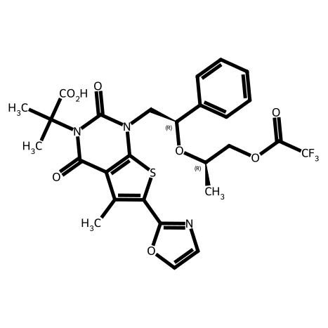 Cc1c(-c2ncco2)sc2c1c(=O)n(C(C)(C)C(=O)O)c(=O)n2C[C@H](O[C@H](C)COC(=O)C(F)(F)F)c1ccccc1